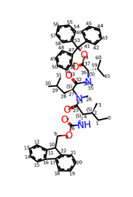 CC[C@H](C)[C@H](NC(=O)OCC1c2ccccc2-c2ccccc21)C(=O)N(C)[C@@H](CC(C)C)C(=O)N(C)[C@H](C(=O)OC(c1ccccc1)(c1ccccc1)c1ccccc1)C(C)C